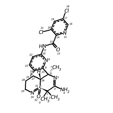 CC1(C)C(N)=N[C@](C)(c2nc(NC(=O)c3ncc(Cl)cc3Cl)ccc2F)[C@H]2CCCN=[S@@]21=O